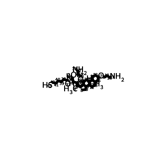 CCCCCCCCN(CCC[C@@H](C)[C@H]1CCC2C3CCC4C[C@H](OCCCN)CC[C@]4(C)[C@H]3C[C@H](OCCCN)[C@@]21C)C(=O)CCCCCS